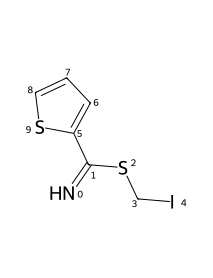 N=C(SCI)c1cccs1